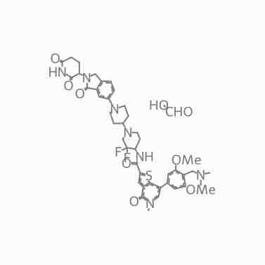 COc1cc(-c2cn(C)c(=O)c3cc(C(=O)NC4CCN(C5CCN(c6ccc7c(c6)C(=O)N(C6CCC(=O)NC6=O)C7)CC5)CC4(F)F)sc23)cc(OC)c1CN(C)C.O=CO